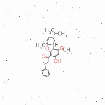 COc1cc(O)c(C(=O)CCc2ccccc2)c2c1[C@@H]1C[C@@H](C(C)C)C=C[C@]1(C)O2